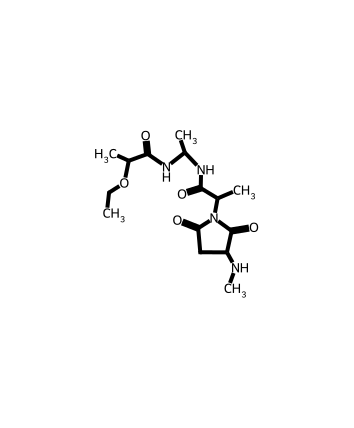 CCOC(C)C(=O)NC(C)NC(=O)C(C)N1C(=O)CC(NC)C1=O